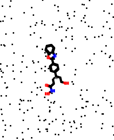 O=C(CC[C@@H](CCO)c1ccc(-c2nc3ccccc3o2)cc1)NO